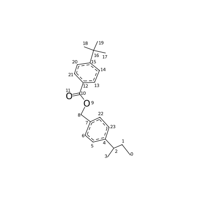 CCC(C)c1ccc(COC(=O)c2ccc(C(C)(C)C)cc2)cc1